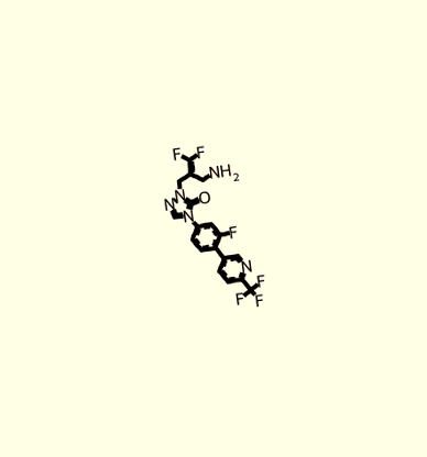 NCC(Cn1ncn(-c2ccc(-c3ccc(C(F)(F)F)nc3)c(F)c2)c1=O)=C(F)F